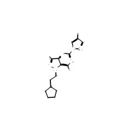 Cc1nn(CCC2CCCC2)c2c(O)nc(-n3cc(C(=O)O)cn3)nc12